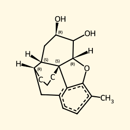 Cc1ccc2c3c1O[C@H]1C(O)[C@H](O)C[C@H]4[C@H](CCC[C@]314)C2